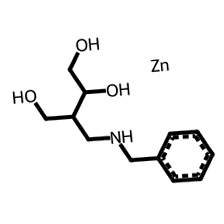 OCC(O)C(CO)CNCc1ccccc1.[Zn]